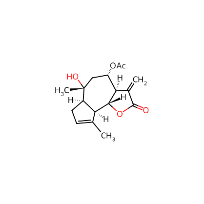 C=C1C(=O)O[C@@H]2[C@H]3C(C)=CC[C@H]3[C@](C)(O)C[C@H](OC(C)=O)[C@@H]12